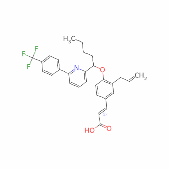 C=CCc1cc(/C=C/C(=O)O)ccc1OC(CCCC)c1cccc(-c2ccc(C(F)(F)F)cc2)n1